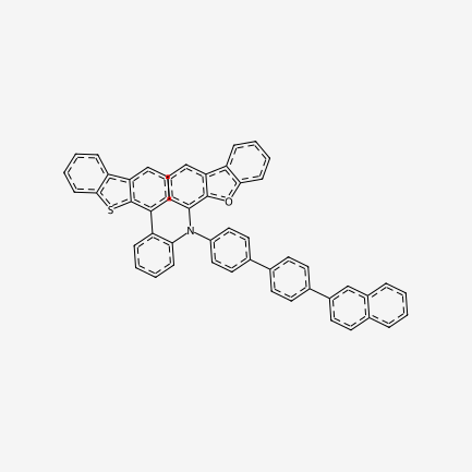 c1ccc(N(c2ccc(-c3ccc(-c4ccc5ccccc5c4)cc3)cc2)c2cccc3c2oc2ccccc23)c(-c2cccc3c2sc2ccccc23)c1